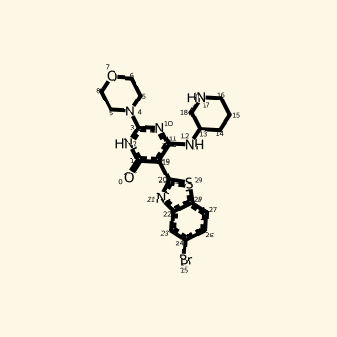 O=c1[nH]c(N2CCOCC2)nc(NC2CCCNC2)c1-c1nc2cc(Br)ccc2s1